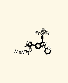 CNC[C@H](C)Oc1c(-c2ccc3c(c2)c(C#C[Si](C(C)C)(C(C)C)C(C)C)nn3C2CCCCO2)cnn1C